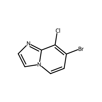 Clc1c(Br)ccn2ccnc12